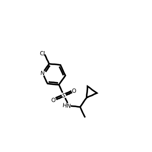 CC(NS(=O)(=O)c1ccc(Cl)nc1)C1CC1